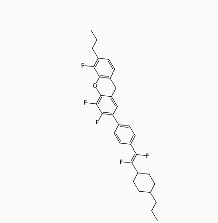 CCCc1ccc2c(c1F)Oc1c(cc(-c3ccc(/C(F)=C(\F)C4CCC(CCC)CC4)cc3)c(F)c1F)C2